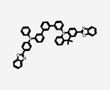 CC1(C)c2ccccc2N(c2cccc(-c3cccc(-c4cccc(N(c5ccccc5)c5ccc(-c6nc7ccccc7o6)cc5)c4)c3)c2)c2ccc(-c3nc4ccccc4o3)cc21